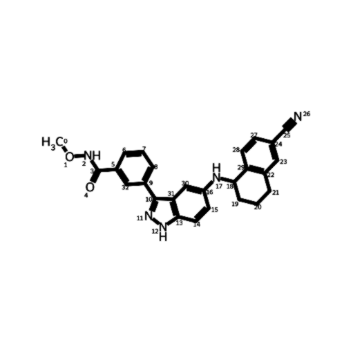 CONC(=O)c1cccc(-c2n[nH]c3ccc(NC4CCCc5cc(C#N)ccc54)cc23)c1